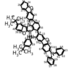 CC(C)(C)c1ccc(Nc2cc3c(cc2-c2ccc4c5cc6oc7ccccc7c6cc5n5c4c2Bc2oc4ccc(C(C)(C)C)cc4c2-5)oc2cc(N(c4ccccc4)c4ccccc4)ccc23)cc1